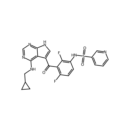 O=C(c1c(F)ccc(NS(=O)(=O)c2cccnc2)c1F)c1c[nH]c2ncnc(NCC3CC3)c12